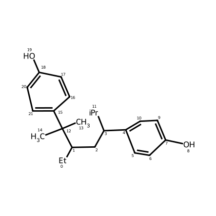 CCC(CC(c1ccc(O)cc1)C(C)C)C(C)(C)c1ccc(O)cc1